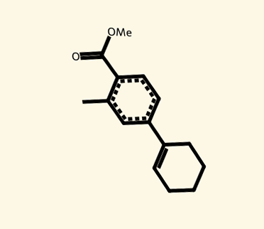 COC(=O)c1ccc(C2=CCCCC2)cc1C